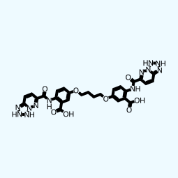 O=C(Nc1ccc(OCCCCOc2ccc(NC(=O)C3=NN4NNN=C4C=C3)c(C(=O)O)c2)cc1C(=O)O)C1=NN2NNN=C2C=C1